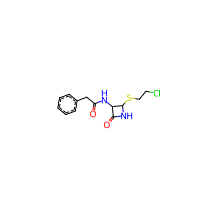 O=C(Cc1ccccc1)NC1C(=O)NC1SCCCl